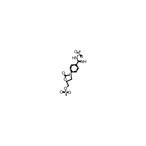 CS(=O)(=O)NC(=N)c1ccc(N2CC(COS(C)(=O)=O)OC2=O)cc1